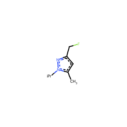 Cc1cc(CF)nn1C(C)C